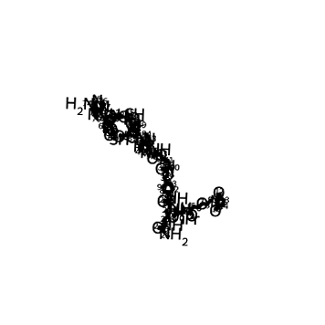 CC(C)[C@H](NC(=O)CCOCCN1C(=O)CCC1=O)C(=O)N[C@@H](CCCNC(N)=O)C(=O)Nc1ccc(COC(=O)N(C)CCOC(=O)Nc2ncnc3c2ncn3[C@@H]2OC3CO[P@@](=O)(S)O[C@H]4[C@@H](C)[C@H](n5cnc6c(N)ncnc65)O[C@@H]4CO[P@@](=O)(S)O[C@H]3[C@H]2F)cc1